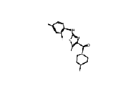 Cc1ccc(Nc2nc(C(=O)N3CCC(C)CC3)c(C)s2)c(F)c1